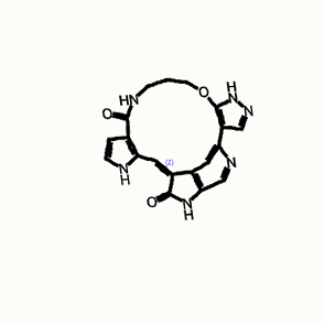 O=C1Nc2cnc3cc2/C1=C/c1[nH]ccc1C(=O)NCCCOc1[nH]ncc1-3